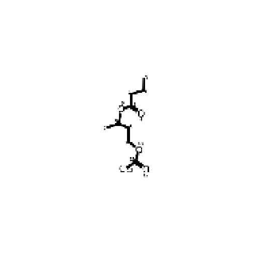 CCCC(=O)OC(C)CCOC(=O)Cl